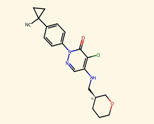 N#CC1(c2ccc(-n3ncc(NC[C@@H]4CCCOC4)c(Cl)c3=O)cc2)CC1